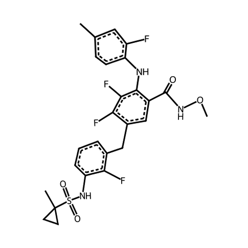 CONC(=O)c1cc(Cc2cccc(NS(=O)(=O)C3(C)CC3)c2F)c(F)c(F)c1Nc1ccc(C)cc1F